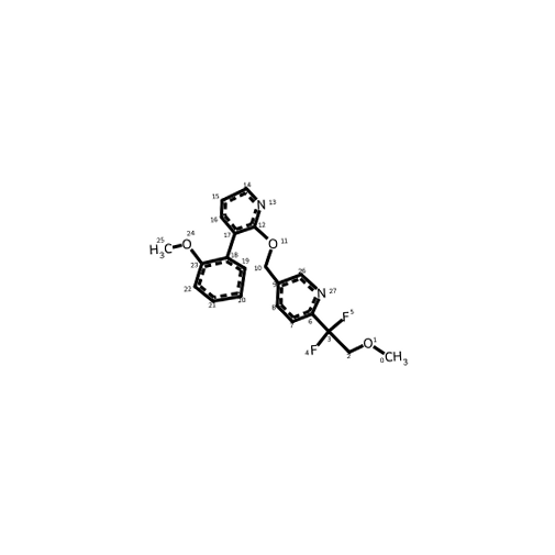 COCC(F)(F)c1ccc(COc2ncccc2-c2ccccc2OC)cn1